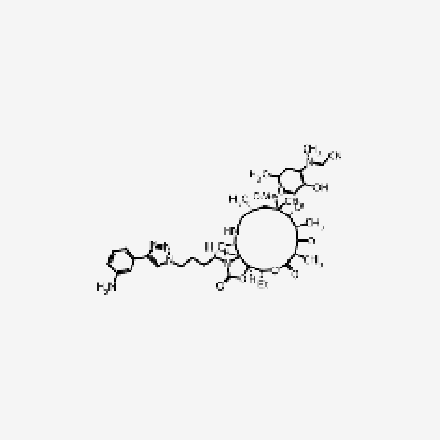 CC[C@H]1OC(=O)[C@H](C)C(=O)[C@H](C)[C@@H](O[C@@H]2OC(C)CC(N(C)CC#N)C2O)[C@](C)(OC)C[C@@H](C)CN[C@H](C)[C@@H]2[C@@H]1OC(=O)N2CCCCn1cc(-c2cccc(N)c2)nn1